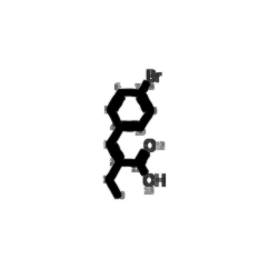 CC/C(=C/c1ccc(Br)cc1)C(=O)O